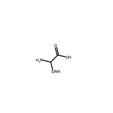 COC(N)C(=O)O